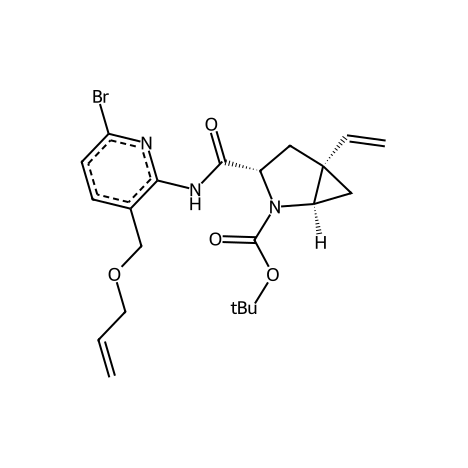 C=CCOCc1ccc(Br)nc1NC(=O)[C@@H]1C[C@@]2(C=C)C[C@H]2N1C(=O)OC(C)(C)C